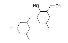 CC1CC(C)CC(CC2CC(C)CC(CO)C2O)C1